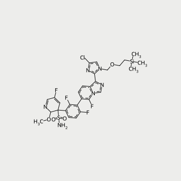 COC1N=CC(F)=CC1(c1ccc(F)c(-c2ccc3c(-c4nc(Cl)cn4COCC[Si](C)(C)C)ncn3c2F)c1F)S(N)(=O)=O